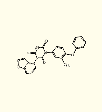 Cc1cc(-n2c(=O)[nH]c(=O)n(-c3cccc4occc34)c2=O)ccc1Oc1ccccc1